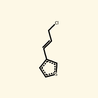 ClCC=Cc1ccsc1